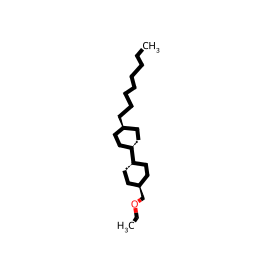 CCCCCCCC[C@H]1CC[C@H]([C@H]2CC[C@H](COCC)CC2)CC1